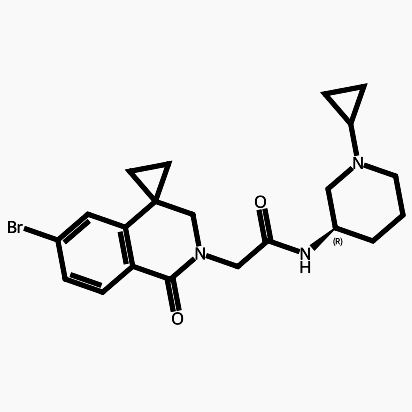 O=C(CN1CC2(CC2)c2cc(Br)ccc2C1=O)N[C@@H]1CCCN(C2CC2)C1